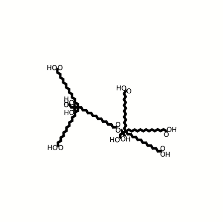 O=C(O)CCCCCCCCCCCCCCC(CCCCCCCCCCCCCCC(=O)O)(CCCCCCCCCCCCCCC(=O)OCC(CO)(CCO)C(CCCCCCCCCCCCCC(=O)O)(CCCCCCCCCCCCCC(=O)O)CCCCCCCCCCCCCC(=O)O)C(CO)(CO)CCO